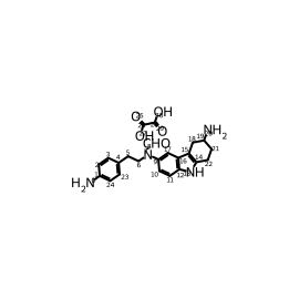 Nc1ccc(CCN(C=O)c2ccc3[nH]c4c(c3c2)CC(N)CC4)cc1.O=C(O)C(=O)O